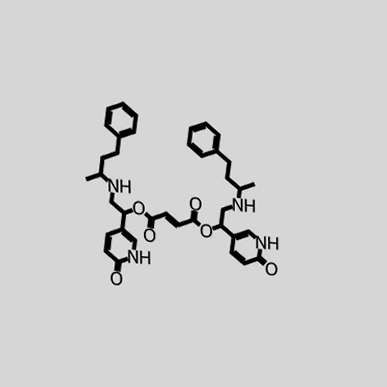 CC(CCc1ccccc1)NCC(OC(=O)/C=C/C(=O)OC(CNC(C)CCc1ccccc1)c1ccc(=O)[nH]c1)c1ccc(=O)[nH]c1